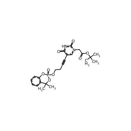 CC(C)(C)OC(=O)Cn1cc(C#CCCOP2(=O)Oc3ccccc3C(C)(C)O2)c(=O)[nH]c1=O